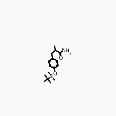 CC(Cc1ccc(O[Si](C)(C)C(C)(C)C)cc1)C(N)=O